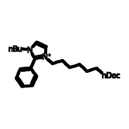 CCCCCCCCCCCCCCCC[n+]1ccn(CCCC)c1-c1ccccc1